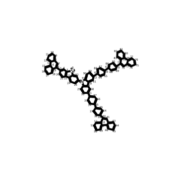 C[Si]1(C)c2cc(-c3cc4ccccc4c4ccccc34)ccc2-c2ccc(-n3c4ccc(-c5ccc(-c6ccc(-c7cc8ccccc8c8ccccc78)cc6)cc5)cc4c4cc(-c5ccc(-c6ccc(-c7cc8ccccc8c8ccccc78)cc6)cc5)ccc43)cc21